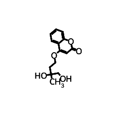 CC(O)(CO)CCOc1cc(=O)oc2ccccc12